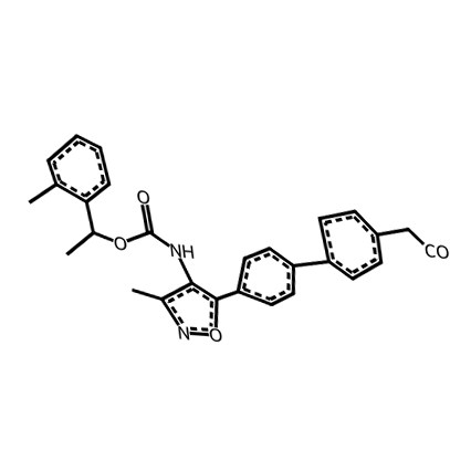 CCOC(=O)Cc1ccc(-c2ccc(-c3onc(C)c3NC(=O)OC(C)c3ccccc3C)cc2)cc1